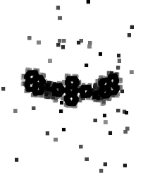 C[Si](C)(c1ccc(-c2c3ccccc3c(-c3ccc([Si](C)(C)c4ccc5c6c7c(ccc46)C=CCC7=CC5)cc3)c3ccccc23)cc1)c1ccc2c3c1C=CC1C=CCC(=CC2)C31